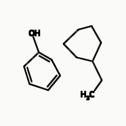 CCC1CCCCC1.Oc1ccccc1